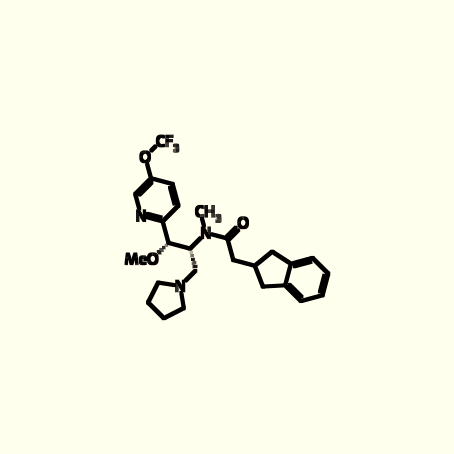 CO[C@H](c1ccc(OC(F)(F)F)cn1)[C@@H](CN1CCCC1)N(C)C(=O)CC1Cc2ccccc2C1